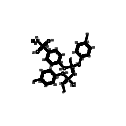 CN=P(Cl)(N=P(C)(Oc1ccc(C)cc1)Oc1ccc(S(N)(=O)=O)cc1)Oc1ccc(C)cc1